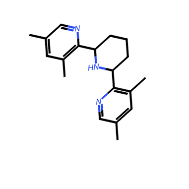 Cc1cnc(C2CCCC(c3ncc(C)cc3C)N2)c(C)c1